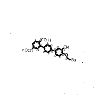 CCCCCCCCc1ccc(C(=O)O)c(-c2ccc(-c3ccc(OCC(C)CC)c(C#N)c3)cc2)c1